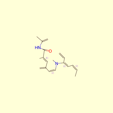 C=C/C(=C\C=C/C)N(C)/C=C\C(=C)/C=C(\C)C(=O)NC(=C)C